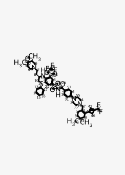 COC1(C)CCN(CC[C@H](CSc2ccccc2)Nc2ccc(S(=O)(=O)NC(=O)c3ccc(N4CCN(CC5=C(C67CC(C(F)F)(C6)C7)CC(C)(C)CC5)CC4)cc3)cc2S(=O)(=O)C(F)(F)F)CC1